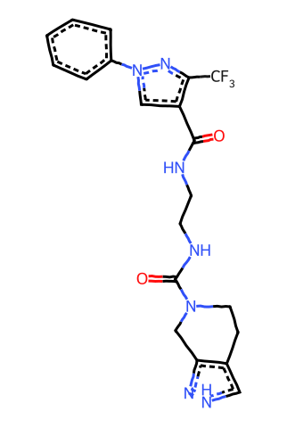 O=C(NCCNC(=O)N1CCc2c[nH]nc2C1)c1cn(-c2ccccc2)nc1C(F)(F)F